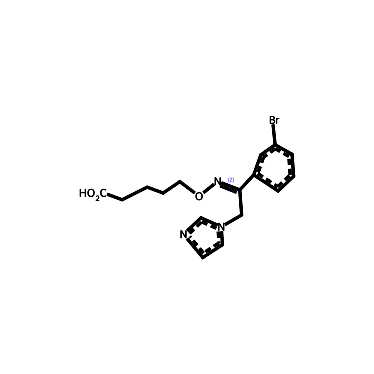 O=C(O)CCCCO/N=C(\Cn1ccnc1)c1cccc(Br)c1